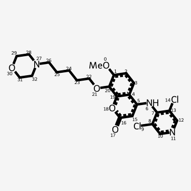 COc1ccc2c(Nc3c(Cl)cncc3Cl)cc(=O)oc2c1OCCCCCN1CCOCC1